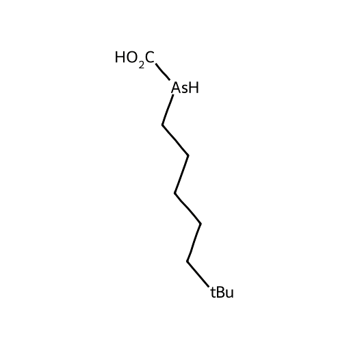 CC(C)(C)CCCCC[AsH]C(=O)O